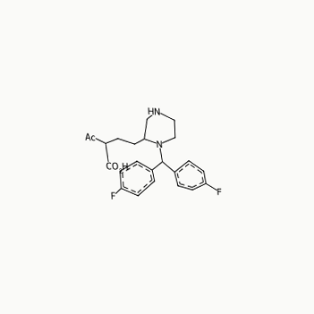 CC(=O)C(CCC1CNCCN1C(c1ccc(F)cc1)c1ccc(F)cc1)C(=O)O